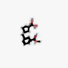 COC(=O)c1cccc(C[C@@H]2CC[C@@H](C(=O)O)C2)c1